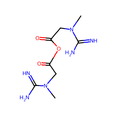 CN(CC(=O)OC(=O)CN(C)C(=N)N)C(=N)N